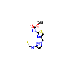 CC(C)(C)OC(=O)Nc1nc(Cn2ccc(N=C=S)n2)cs1